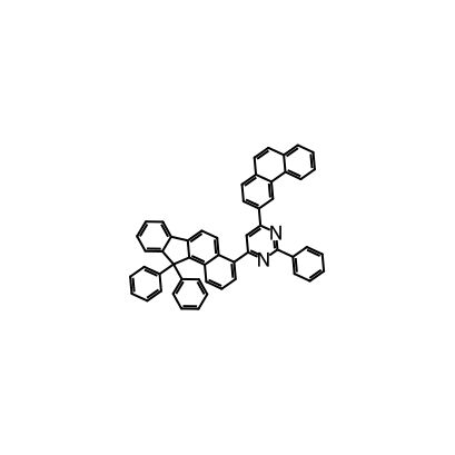 c1ccc(-c2nc(-c3ccc4ccc5ccccc5c4c3)cc(-c3cccc4c5c(ccc34)-c3ccccc3C5(c3ccccc3)c3ccccc3)n2)cc1